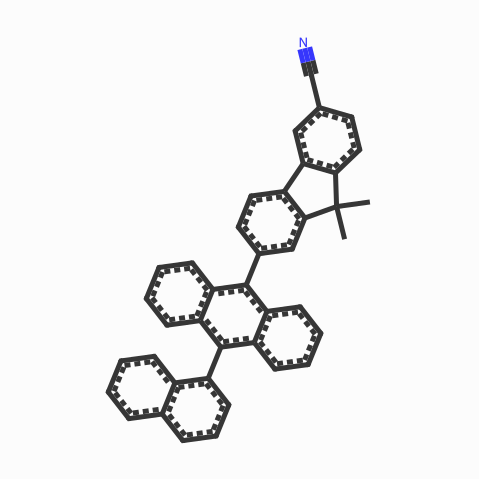 CC1(C)c2ccc(C#N)cc2-c2ccc(-c3c4ccccc4c(-c4cccc5ccccc45)c4ccccc34)cc21